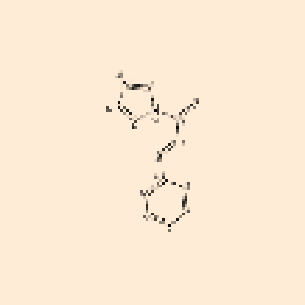 C=C(/C=C/c1ccccc1)n1ccnc1